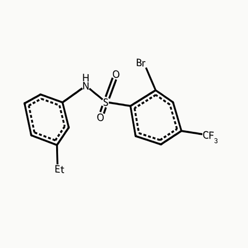 CCc1cccc(NS(=O)(=O)c2ccc(C(F)(F)F)cc2Br)c1